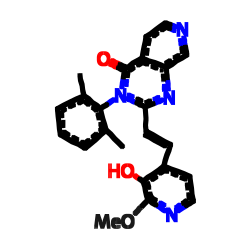 COc1nccc(/C=C/c2nc3cnccc3c(=O)n2-c2c(C)cccc2C)c1O